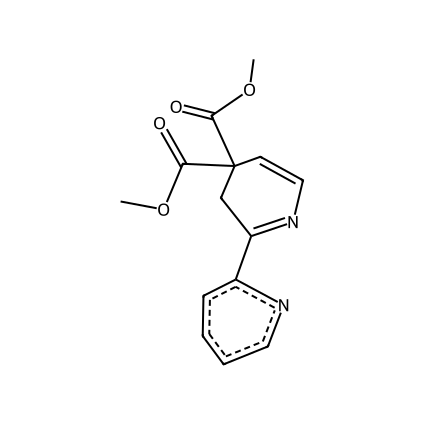 COC(=O)C1(C(=O)OC)C=CN=C(c2ccccn2)C1